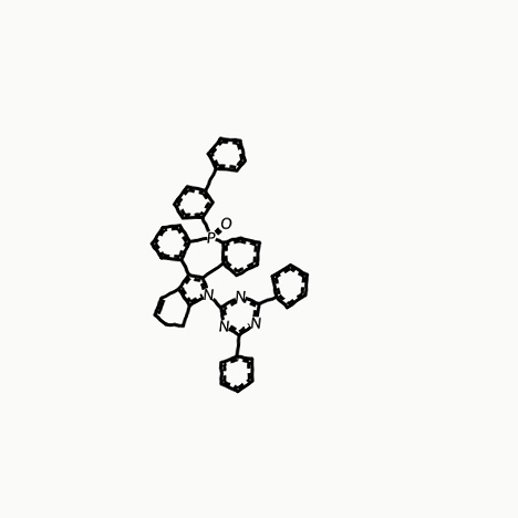 O=P1(c2cccc(-c3ccccc3)c2)c2ccccc2-c2c3c(n(-c4nc(-c5ccccc5)nc(-c5ccccc5)n4)c2-c2ccccc21)CCC=C3